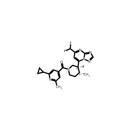 Cc1cc(C(=O)N2CC[C@@H](C)[C@](F)(c3cc(C(F)F)nc4ncnn34)C2)cc(C2CC2)n1